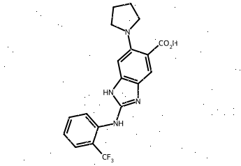 O=C(O)c1cc2nc(Nc3ccccc3C(F)(F)F)[nH]c2cc1N1CCCC1